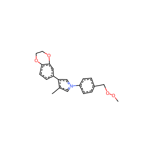 COOCc1ccc(-n2cc(C)c(-c3ccc4c(c3)OCCO4)c2)cc1